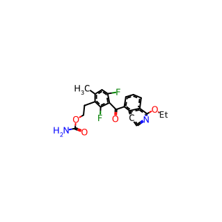 CCOc1nccc2c(C(=O)c3c(F)cc(C)c(CCOC(N)=O)c3F)cccc12